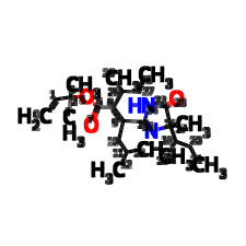 C=CC(C)(C)OC(=O)/C(=C(\CC(C)C)C1=NC(C)(C(C)CC)C(=O)N1)C(C)CC